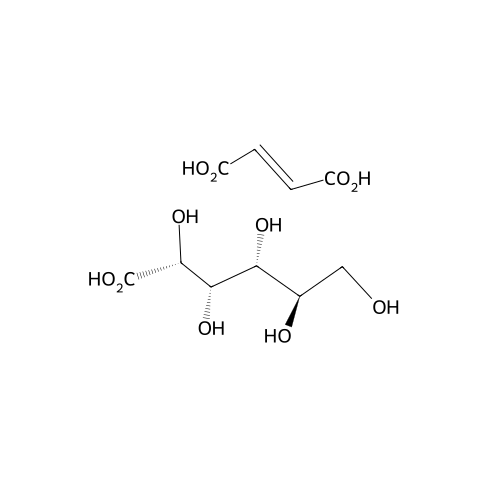 O=C(O)/C=C/C(=O)O.O=C(O)[C@H](O)[C@@H](O)[C@H](O)[C@H](O)CO